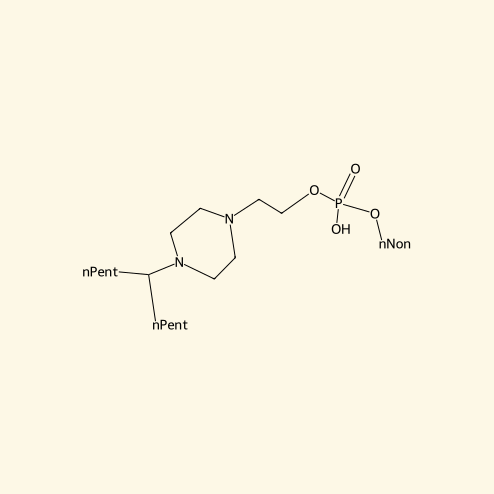 CCCCCCCCCOP(=O)(O)OCCN1CCN(C(CCCCC)CCCCC)CC1